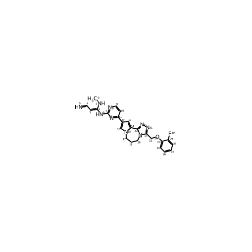 CN/C(=C\C=N)Nc1nccc(-c2cc3n(c2)CCCn2c(COc4ccccc4F)nnc2-3)n1